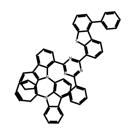 C1#CCC(n2c3ccccc3c3cccc(-n4c5c(c6cccc(-c7nc(-c8ccccc8)nc(-c8cccc9c8sc8cccc(-c%10ccccc%10)c89)n7)c64)C=CCC5)c32)=CC=C1